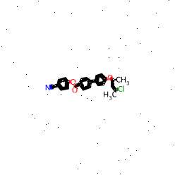 C[C@H](Cl)C[C@H](C)Oc1ccc(-c2ccc(C(=O)Oc3ccc(C#N)cc3)cc2)cc1